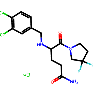 Cl.NC(=O)CCC(NCc1ccc(Cl)c(Cl)c1)C(=O)N1CCC(F)(F)C1